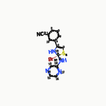 N#Cc1cccc(C2=CS[C@@](Br)(Nc3cnccn3)N2)c1